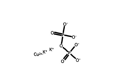 O=P([O-])([O-])OP(=O)([O-])[O-].[Cu+2].[K+].[K+]